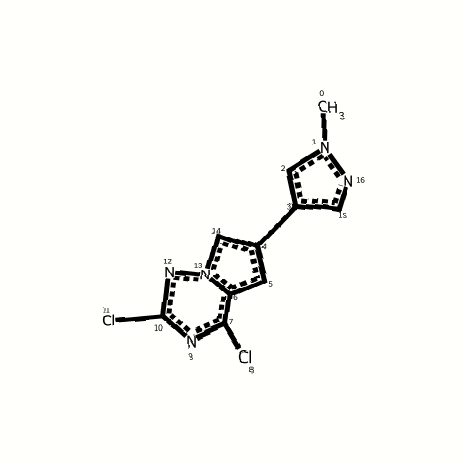 Cn1cc(-c2cc3c(Cl)nc(Cl)nn3c2)cn1